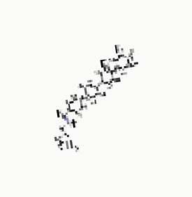 C=CCC/C(F)=C(\F)c1ccc(-c2ccc(-c3ccc(-c4cc(F)c(F)c(F)c4)c(F)c3)cc2)cc1